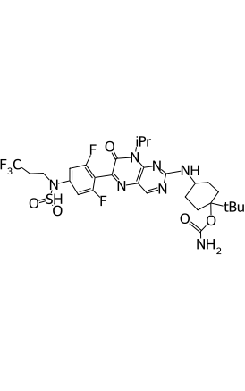 CC(C)n1c(=O)c(-c2c(F)cc(N(CCC(F)(F)F)[SH](=O)=O)cc2F)nc2cnc(NC3CCC(OC(N)=O)(C(C)(C)C)CC3)nc21